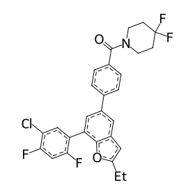 CCc1cc2cc(-c3ccc(C(=O)N4CCC(F)(F)CC4)cc3)cc(-c3cc(Cl)c(F)cc3F)c2o1